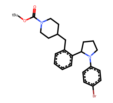 CC(C)(C)OC(=O)N1CCC(Cc2ccccc2C2CCCN2c2ccc(Br)cc2)CC1